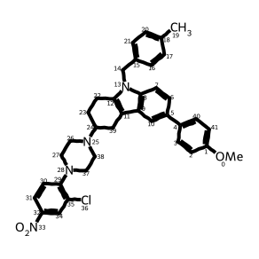 COc1ccc(-c2ccc3c(c2)c2c(n3Cc3ccc(C)cc3)CCC(N3CCN(c4ccc([N+](=O)[O-])cc4Cl)CC3)C2)cc1